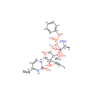 CC#C[C@@]1(O)C(O)[C@@H](COP(=O)(N[C@@H](C)C(=O)OC(C)C)Oc2ccccc2)O[C@H]1n1ccc(NC)nc1=O